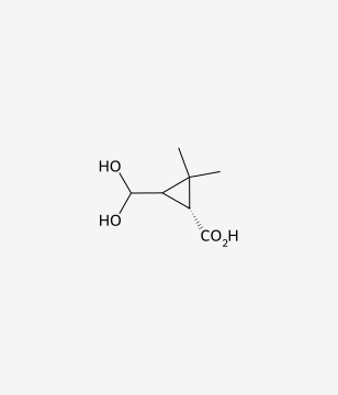 CC1(C)C(C(O)O)[C@H]1C(=O)O